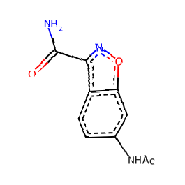 CC(=O)Nc1ccc2c(C(N)=O)noc2c1